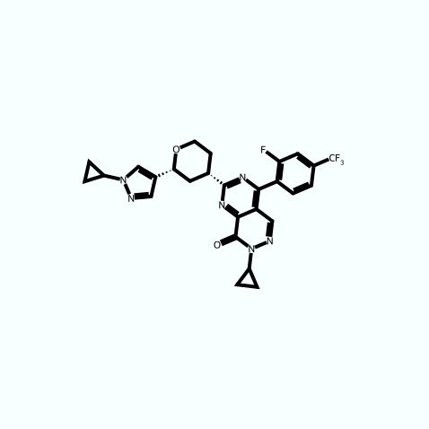 O=c1c2nc([C@H]3CCO[C@@H](c4cnn(C5CC5)c4)C3)nc(-c3ccc(C(F)(F)F)cc3F)c2cnn1C1CC1